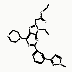 CCOC(=O)Cc1nc2c(N3CCOCC3)nc(-c3cccc(-c4ccn(C)n4)c3)nc2n1CC